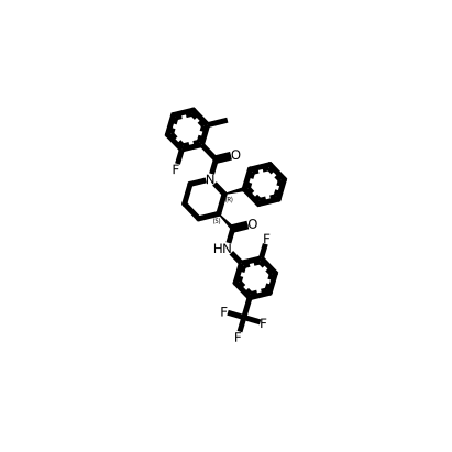 Cc1cccc(F)c1C(=O)N1CCC[C@H](C(=O)Nc2cc(C(F)(F)F)ccc2F)[C@@H]1c1ccccc1